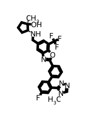 Cn1cnnc1-c1cc(F)ccc1-c1cccc(-c2nc3cc(CN[C@@H]4CCC[C@@]4(C)O)cc(C(F)(F)F)c3o2)c1